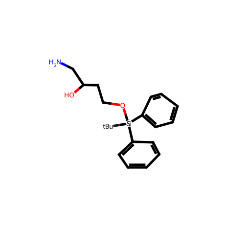 CC(C)(C)[Si](OCCC(O)CN)(c1ccccc1)c1ccccc1